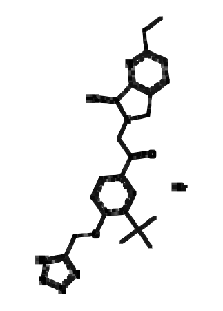 Br.CCc1ccc2c(n1)C(=N)N(CC(=O)c1ccc(OCc3nnn[nH]3)c(C(C)(C)C)c1)C2